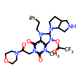 CC(C)CCN1c2c(n(C)c(=O)n(CC(=O)N3CCOCC3)c2=O)N(OC(=O)C(F)(F)F)C1N1CCC2CNCC21